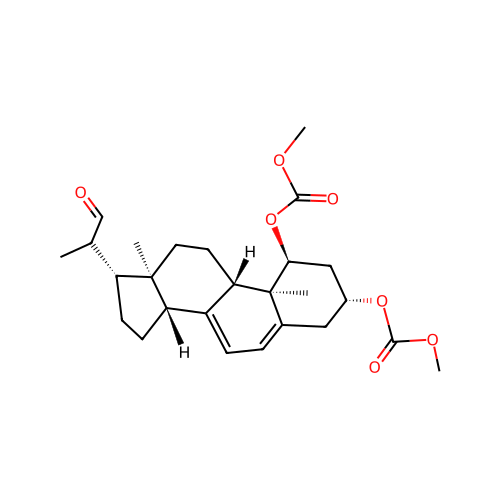 COC(=O)O[C@@H]1CC2=CC=C3[C@@H]4CC[C@H](C(C)C=O)[C@@]4(C)CC[C@@H]3[C@@]2(C)[C@@H](OC(=O)OC)C1